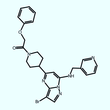 O=C(COc1ccccc1)N1CCC(c2cc(NCc3cccnc3)n3ncc(Br)c3n2)CC1